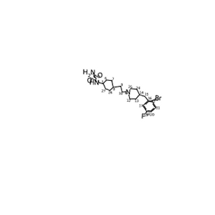 NS(=O)(=O)NC1CCC(CCN2CCC(Cc3cc(F)ccc3Br)CC2)CC1